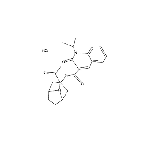 CC(=O)CN1C2CCC1CC(OC(=O)c1cc3ccccc3n(C(C)C)c1=O)C2.Cl